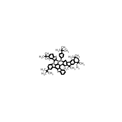 CC(C)(C)c1ccc(N2B3c4sc5ccc(C(C)(C)C)cc5c4-n4c5ccc(C(C)(C)C)cc5c5c6sc7ccccc7c6c(c3c54)-c3cc4c(cc32)-c2cc3c(cc2C4(C)C)C(C)(C)CCC3(C)C)cc1